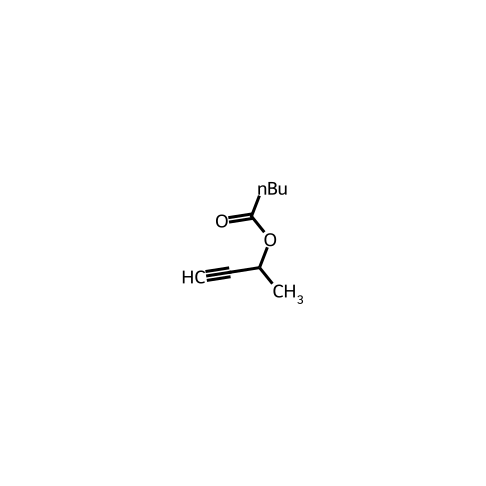 C#CC(C)OC(=O)CCC[CH2]